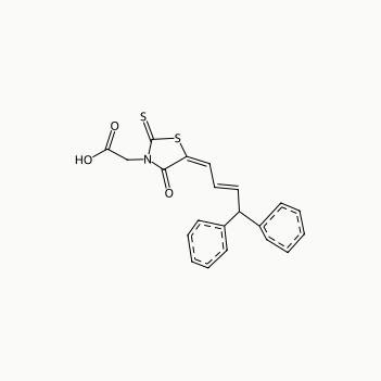 O=C(O)CN1C(=O)C(=CC=CC(c2ccccc2)c2ccccc2)SC1=S